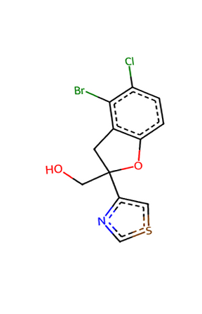 OCC1(c2cscn2)Cc2c(ccc(Cl)c2Br)O1